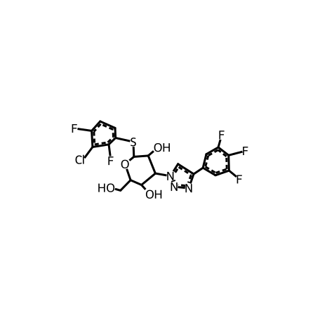 OCC1OC(Sc2ccc(F)c(Cl)c2F)C(O)C(n2cc(-c3cc(F)c(F)c(F)c3)nn2)C1O